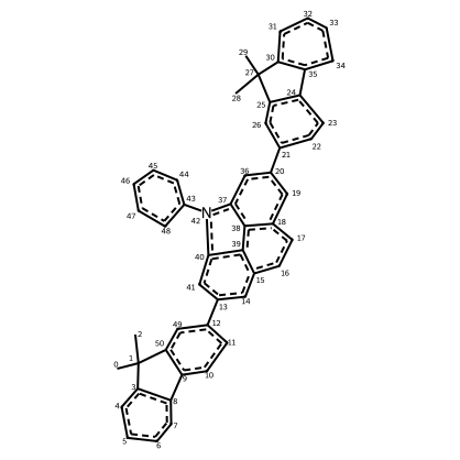 CC1(C)c2ccccc2-c2ccc(-c3cc4ccc5cc(-c6ccc7c(c6)C(C)(C)c6ccccc6-7)cc6c5c4c(c3)n6-c3ccccc3)cc21